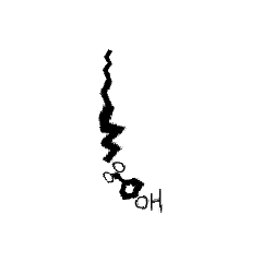 CCCCCC/C=C/CCCCOC(=O)c1ccc(O)cc1